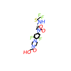 O=C(CO)N1CCN(c2c(F)cc(N3C[C@H](CNC(=S)C(F)F)OC3=O)cc2F)CC1